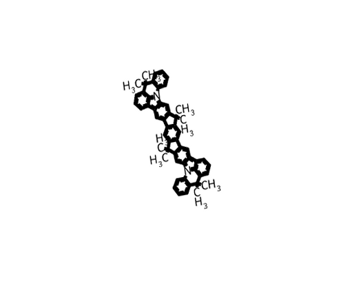 CC1(C)c2cc3c(cc2-c2cc4c5cccc6c5n(c4cc21)-c1ccccc1C6(C)C)C(C)(C)c1cc2c(cc1-3)c1cccc3c1n2-c1ccccc1C3(C)C